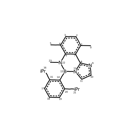 Cc1ccc(C)c2c1-c1nccn1B(c1c(C(C)C)cccc1C(C)C)N2C